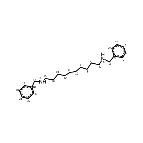 c1ccc(CNCCCCCCCCCCNCc2ccccc2)cc1